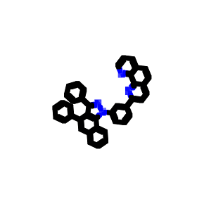 c1ccc(-c2cc3ccccc3c3c2c(-c2ccccc2)nn3-c2cccc(-c3ccc4ccc5cccnc5c4n3)c2)cc1